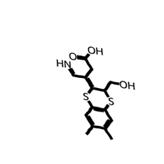 Cc1cc2c(cc1C)SC(CO)/C(=C(/C=N)CC(=O)O)S2